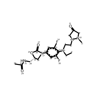 CCN(CCN1CC(=O)CN1C)c1c(F)cc(N2C[C@H](CNC(C)=O)OC2=O)cc1F